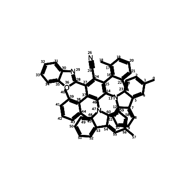 Cc1ccc2c(c1)c1ccccc1n2-c1c(-c2c(C)cccc2C)c(C#N)c(-c2nc3ccccc3o2)c(-c2c(C)cccc2C)c1-n1c2ccccc2c2cc(C)ccc21